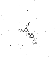 O=C(c1cnc(NCc2cc(OCC3CC3)cc(OC(F)(F)F)c2)nc1)N1CCCOC1